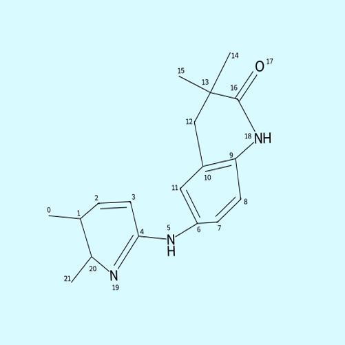 CC1C=CC(Nc2ccc3c(c2)CC(C)(C)C(=O)N3)=NC1C